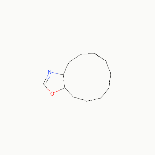 C1=NC2CCCCCCCCCC2O1